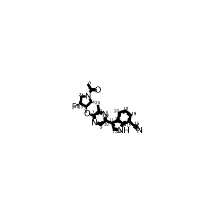 CC(=O)N1C[C@H](Oc2ncc(-c3c[nH]c4c(C#N)cccc34)nc2C)[C@@H](F)C1